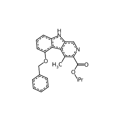 Cc1c(C(=O)OC(C)C)ncc2[nH]c3cccc(OCc4ccccc4)c3c12